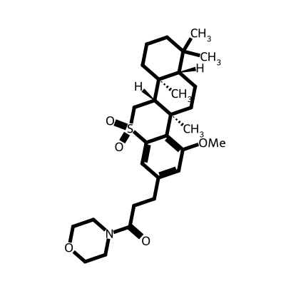 COc1cc(CCC(=O)N2CCOCC2)cc2c1[C@]1(C)CC[C@H]3C(C)(C)CCC[C@]3(C)[C@H]1CS2(=O)=O